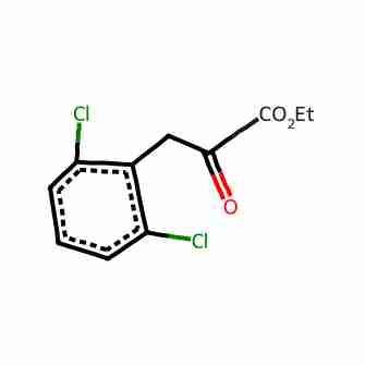 CCOC(=O)C(=O)Cc1c(Cl)cccc1Cl